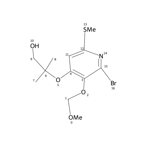 COCOc1c(OC(C)(C)CO)cc(SC)nc1Br